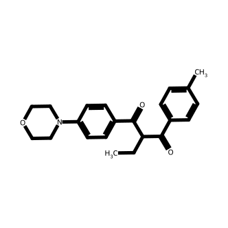 CCC(C(=O)c1ccc(C)cc1)C(=O)c1ccc(N2CCOCC2)cc1